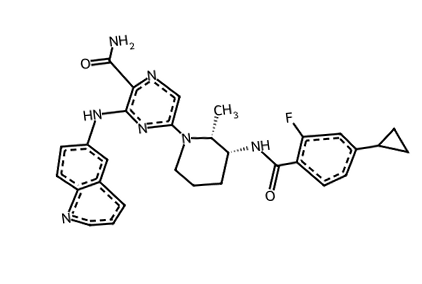 C[C@@H]1[C@H](NC(=O)c2ccc(C3CC3)cc2F)CCCN1c1cnc(C(N)=O)c(Nc2ccc3ncccc3c2)n1